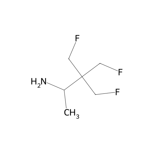 CC(N)C(CF)(CF)CF